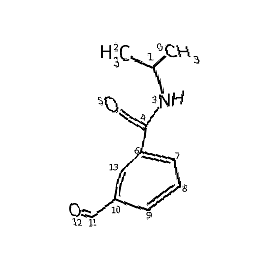 CC(C)NC(=O)c1cccc(C=O)c1